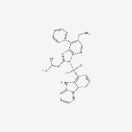 CCc1ccc2c(c1-c1ccccc1)C=C(CC(C)C)[CH]2[Zr]([Cl])([Cl])[c]1cccc2c1[SiH2]c1ccccc1-2